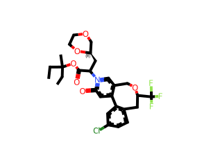 CCC(C)(CC)OC(=O)C(C[C@@H]1COCCO1)n1cc2c(cc1=O)-c1cc(Cl)ccc1CC(C(F)(F)F)OC2